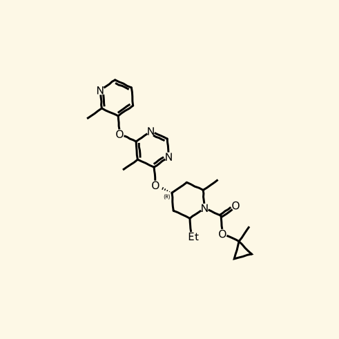 CCC1C[C@H](Oc2ncnc(Oc3cccnc3C)c2C)CC(C)N1C(=O)OC1(C)CC1